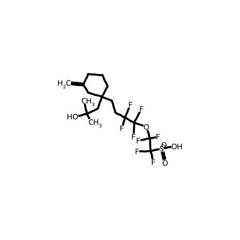 C=C1CCCC(CCC(F)(F)C(F)(F)OC(F)(F)C(F)(F)S(=O)(=O)O)(CC(C)(C)O)C1